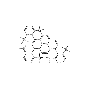 C[SiH](C)c1cccc([Si](C)(C)C)c1-c1cc2c3c(cc4ccc(-c5c([Si](C)(C)C)cccc5[Si](C)(C)C)c5ccc1c3c45)[Si](C)(C)c1cccc([Si](C)(C)C)c1-2